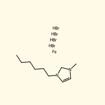 Br.Br.Br.Br.CCCCCCN1C=CN(C)C1.[Fe]